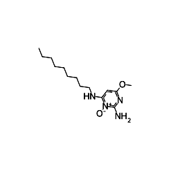 CCCCCCCCCNc1cc(OC)nc(N)[n+]1[O-]